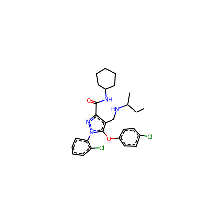 CCC(C)NCc1c(C(=O)NC2CCCCC2)nn(-c2ccccc2Cl)c1Oc1ccc(Cl)cc1